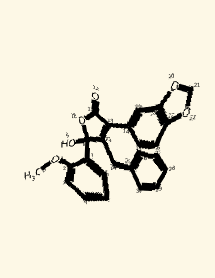 COc1ccccc1C1(O)OC(=O)C(c2ccc3c(c2)OCO3)=C1Cc1ccccc1